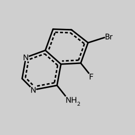 Nc1ncnc2ccc(Br)c(F)c12